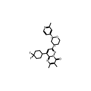 Cc1cc([C@@H]2C[C@H](c3cc(C4CCC(F)(F)CC4)c4nc(C)c(C)c(=O)n4n3)CCO2)ccn1